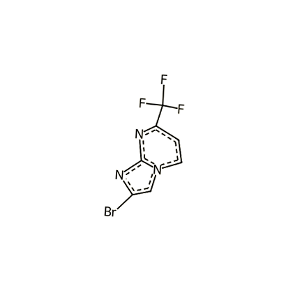 FC(F)(F)c1ccn2cc(Br)nc2n1